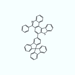 c1ccc(-c2nc3ccccc3c3c2cc(-c2ccc4c(c2)-c2ccccc2C42c4ccccc4-c4ccccc42)c2sc4ccccc4c23)cc1